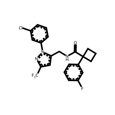 O=C(NCc1cc(C(F)(F)F)nn1-c1cccc(Cl)c1)C1(c2cccc(F)c2)CCC1